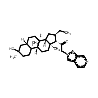 CC[C@@H]1C[C@H]2[C@@H]3CC[C@H]4C[C@](C)(O)CC[C@]4(C)[C@H]3CC[C@]2(C)[C@H]1C(=O)Cn1cc2ccncc2n1